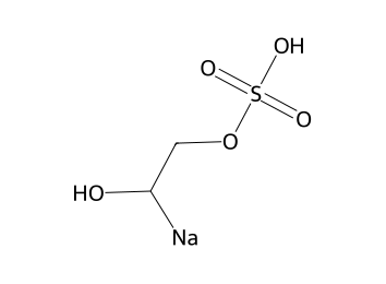 O=S(=O)(O)OC[CH](O)[Na]